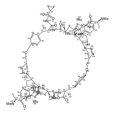 CN[C@@H](C)C(=O)N[C@H](C(=O)N1CC[C@@H]2[C@H]1C(=O)N[C@@H](Cc1ccc3ccccc3c1)C(=O)N[C@H](C(=O)NS(=O)(=O)C1CC1)Cc1ccc(cc1)OCc1cn(nn1)[C@@H]1CCN(C(=O)[C@@H](NC(=O)[C@H](C)NC)C(C)(C)C)[C@@H]1C(=O)N[C@@H](Cc1ccc3ccccc3c1)C(=O)N[C@H](C(=O)OC)Cc1ccc(cc1)OCc1cn2nn1)C(C)(C)C